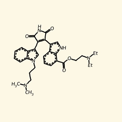 CCN(CC)CCOC(=O)c1cccc2c(C3=C(c4cn(CCCN(C)C)c5ccccc45)C(=O)NC3=O)c[nH]c12